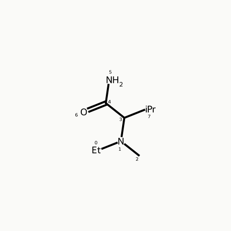 CCN(C)C(C(N)=O)C(C)C